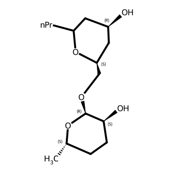 CCCC1C[C@@H](O)C[C@@H](CO[C@@H]2O[C@@H](C)CC[C@@H]2O)O1